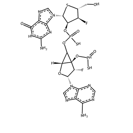 Nc1nc2c(ncn2[C@@H]2S[C@H](CO)[C@@H](F)[C@H]2OP(=O)(S)OC2[C@H]3O[C@@H](n4cnc5c(N)ncnc54)[C@@H](F)[C@@]23O[PH](=O)S)c(=O)[nH]1